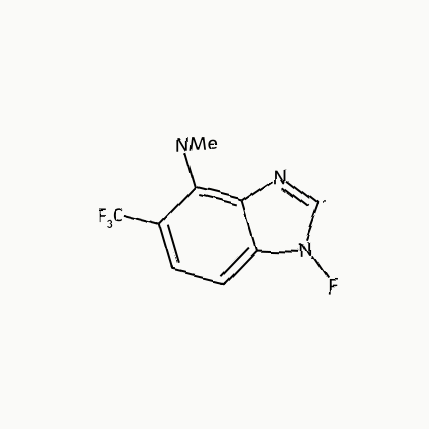 CNc1c(C(F)(F)F)ccc2c1n[c]n2F